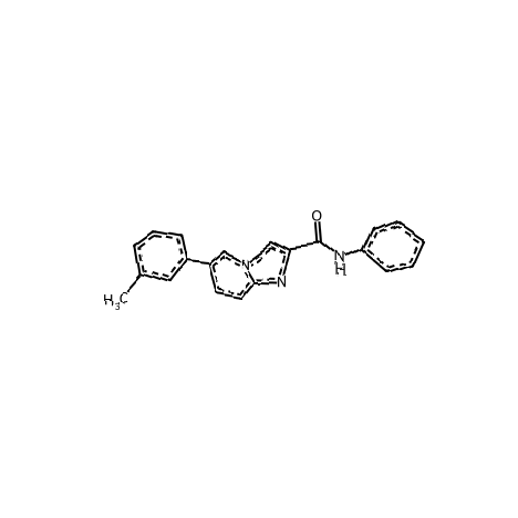 Cc1cccc(-c2ccc3nc(C(=O)Nc4ccccc4)cn3c2)c1